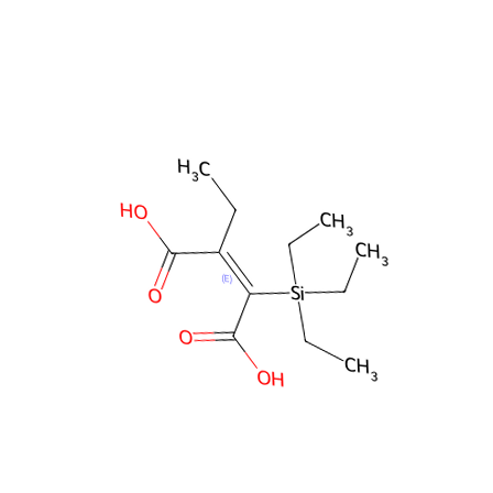 CC/C(C(=O)O)=C(/C(=O)O)[Si](CC)(CC)CC